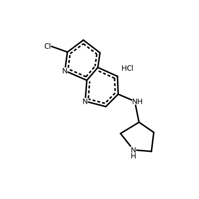 Cl.Clc1ccc2cc(NC3CCNC3)cnc2n1